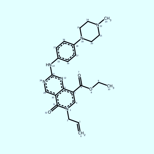 C=CCn1cc(C(=O)OCC)c2nc(Nc3ccc(N4CCN(C)CC4)cc3)ncc2c1=O